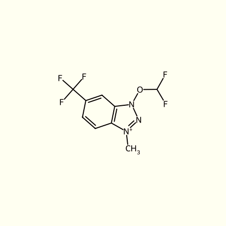 C[n+]1nn(OC(F)F)c2cc(C(F)(F)F)ccc21